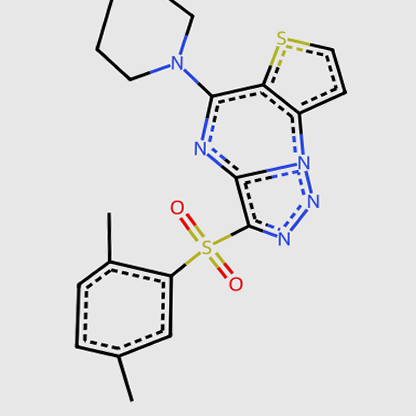 Cc1ccc(C)c(S(=O)(=O)c2nnn3c2nc(N2CCCCC2)c2sccc23)c1